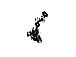 CSC(C)(C)c1nc(-c2ccc(CCNC(=O)OCc3ccccc3)cc2)nc2c1OCC1COC[C@@H](C)N21